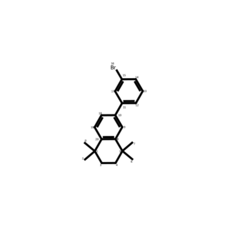 CC1(C)CCC(C)(C)c2cc(-c3cccc(Br)c3)ccc21